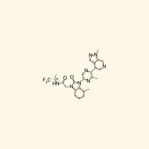 Cc1nc(-n2c(=O)n(CC(=O)N[C@@H](C)C(F)(F)F)c3cccc(C)c32)cnc1-c1cncc2c1cnn2C